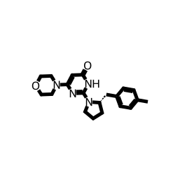 Cc1ccc(C[C@@H]2CCCN2c2nc(N3CCOCC3)cc(=O)[nH]2)cc1